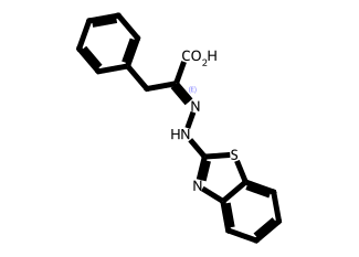 O=C(O)/C(Cc1ccccc1)=N/Nc1nc2ccccc2s1